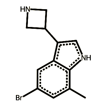 Cc1cc(Br)cc2c(C3CNC3)c[nH]c12